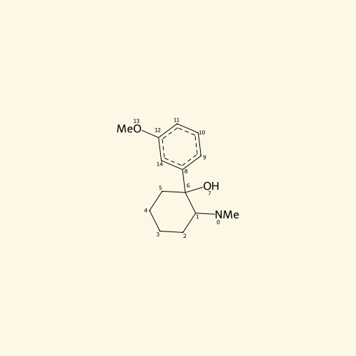 CNC1CCCCC1(O)c1cccc(OC)c1